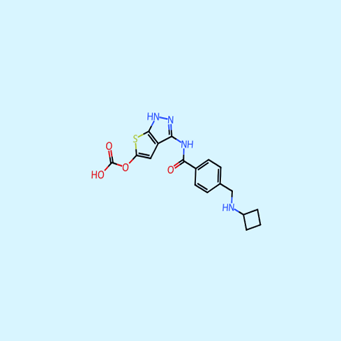 O=C(O)Oc1cc2c(NC(=O)c3ccc(CNC4CCC4)cc3)n[nH]c2s1